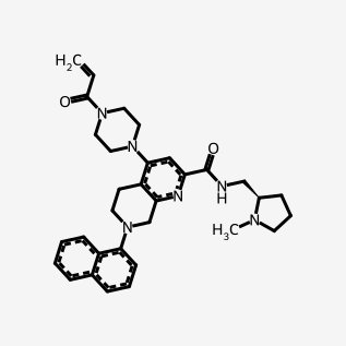 C=CC(=O)N1CCN(c2cc(C(=O)NC[C@H]3CCCN3C)nc3c2CCN(c2cccc4ccccc24)C3)CC1